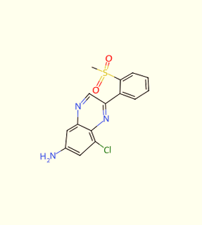 CS(=O)(=O)c1ccccc1-c1cnc2cc(N)cc(Cl)c2n1